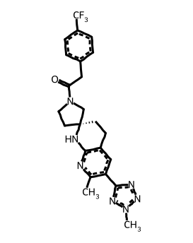 Cc1nc2c(cc1-c1nnn(C)n1)CC[C@@]1(CCN(C(=O)Cc3ccc(C(F)(F)F)cc3)C1)N2